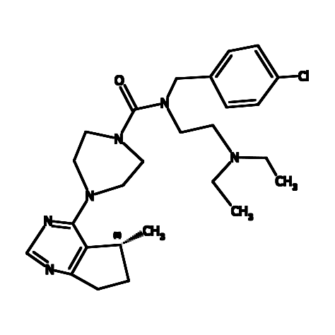 CCN(CC)CCN(Cc1ccc(Cl)cc1)C(=O)N1CCN(c2ncnc3c2[C@H](C)CC3)CC1